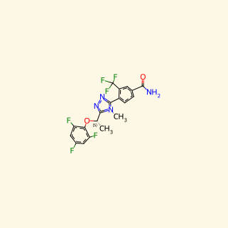 C[C@H](Oc1c(F)cc(F)cc1F)c1nnc(-c2ccc(C(N)=O)cc2C(F)(F)F)n1C